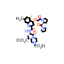 CCOC(=O)CC[C@H](NC(=O)c1cc(OCC(=O)N2CCC[C@H]2C(=O)N2CCCC2)c2c(F)cc(C)cc2n1)C(=O)N1CCN(C(=O)OCC)CC1